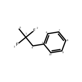 CC(F)(F)Cc1cc[c]cc1